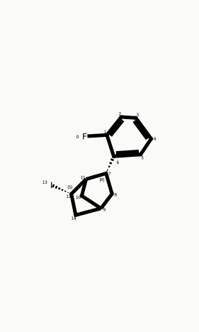 Fc1ccccc1[C@@H]1CC2CC1[C@@H](I)C2